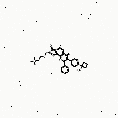 C[Si](C)(C)CCOCn1nc2c3oc(-c4ccccc4)c(-c4ccc(C5(N)CCC5)nc4)c(=O)c3ccn2c1=O